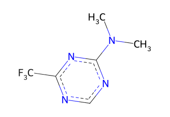 CN(C)c1ncnc(C(F)(F)F)n1